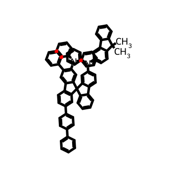 CC1(C)c2ccccc2-c2cc(N(c3ccccc3)c3ccc4c(c3)C3(c5ccccc5-4)c4cc(-c5ccc(-c6ccccc6)cc5)ccc4-c4cc(-c5ccccc5)c(N(c5ccccc5)c5ccccc5)cc43)ccc21